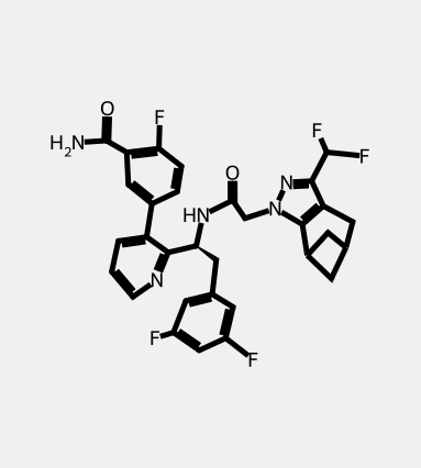 NC(=O)c1cc(-c2cccnc2[C@H](Cc2cc(F)cc(F)c2)NC(=O)Cn2nc(C(F)F)c3c2C2CC(C3)C2)ccc1F